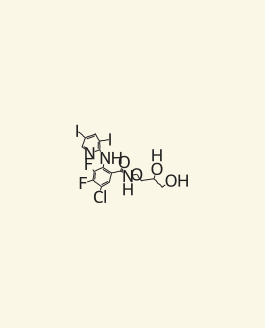 O=C(NOCC(O)CO)c1cc(Cl)c(F)c(F)c1Nc1ncc(I)cc1I